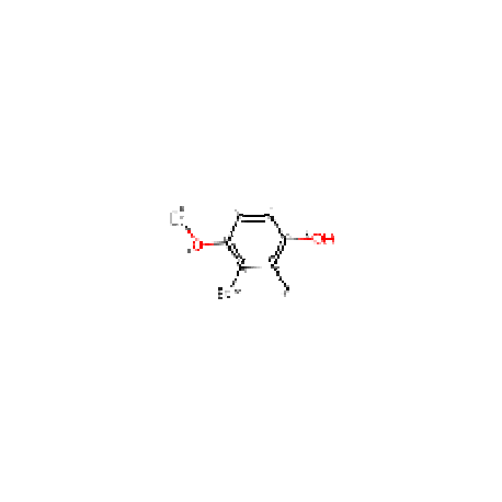 CCOc1ccc(O)c(C)c1CC